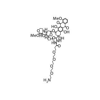 COc1cccc2c1C(=O)c1c(O)c3c(c(O)c1C2=O)C[C@@](O)(C(=O)NNC(=O)CCOCCOCCOCCOCCN)C[C@@H]3O[C@H]1C[C@H]2[C@H](O[C@@H]3[C@@H](OC)OCCN32)[C@H](C)O1